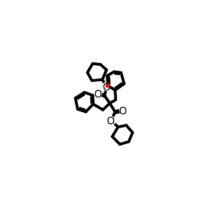 O=C(OC1CCCCC1)C(Cc1ccccc1)(Cc1ccccc1)C(=O)OC1CCCCC1